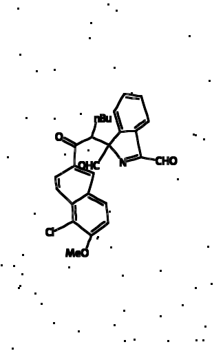 CCCCC(C(=O)c1ccc2c(Cl)c(OC)ccc2c1)C1(C=O)N=C(C=O)c2ccccc21